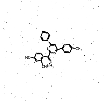 Cc1ccc(-c2cc(-c3ccccc3)nc(C(=NN)c3ccc(O)cc3C)n2)cc1